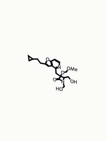 COCOC1(Cc2nccc3oc(CCC4CC4)cc23)C(=O)N(CO)C1CO